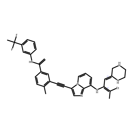 C=C(Nc1cccc(C(C)(F)F)c1)c1ccc(C)c(C#Cc2cnc3c(NC(/C=C4/CNCCN4)=C(\C)CC)cccn23)c1